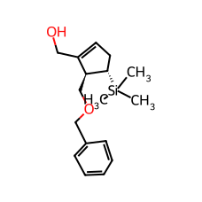 C[Si](C)(C)[C@H]1CC=C(CO)[C@@H]1COCc1ccccc1